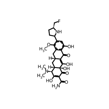 COc1c(C2CC[C@@H](CF)N2)cc(O)c2c1C[C@H]1C[C@H]3[C@H](N(C)C)C(O)=C(C(N)=O)C(=O)[C@@]3(O)C(O)=C1C2=O